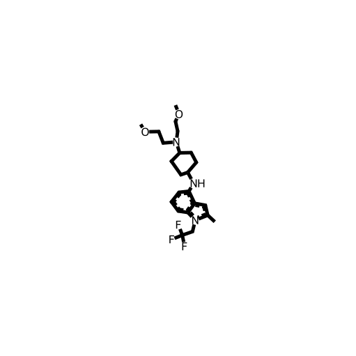 COCCN(CCOC)C1CCC(Nc2cccc3c2cc(C)n3CC(F)(F)F)CC1